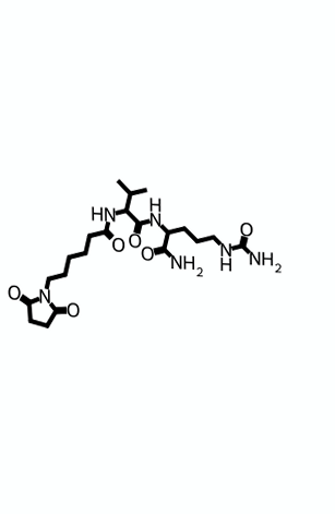 CC(C)C(NC(=O)CCCCCN1C(=O)CCC1=O)C(=O)NC(CCCNC(N)=O)C(N)=O